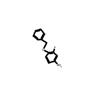 Bc1ccc(OCc2ccccc2)c(F)c1